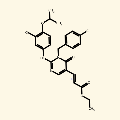 CCOC(=O)/C=C/c1cnc(Nc2ccc(OC(C)C)c(Cl)c2)n(Cc2ccc(Cl)cc2)c1=O